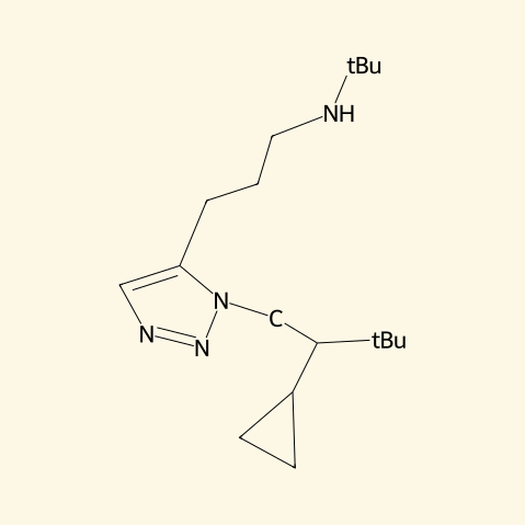 CC(C)(C)NCCCc1cnnn1CC(C1CC1)C(C)(C)C